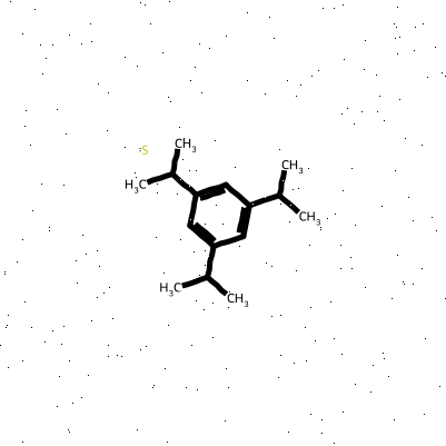 CC(C)c1cc(C(C)C)cc(C(C)C)c1.[S]